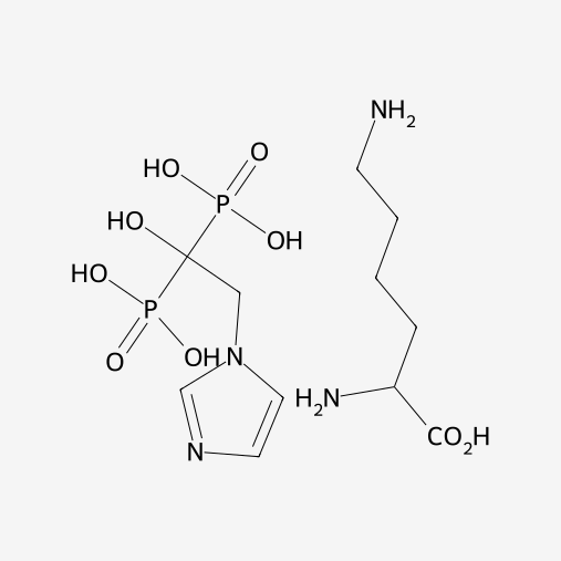 NCCCCC(N)C(=O)O.O=P(O)(O)C(O)(Cn1ccnc1)P(=O)(O)O